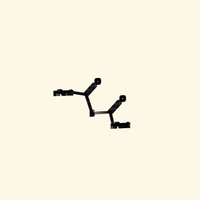 CCCCCC(=O)SC(=O)CCCCC